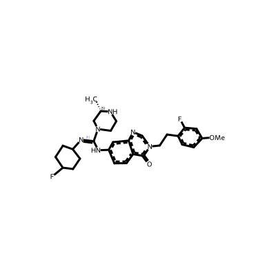 COc1ccc(CCn2cnc3cc(N/C(=N\C4CCC(F)CC4)N4CCN[C@@H](C)C4)ccc3c2=O)c(F)c1